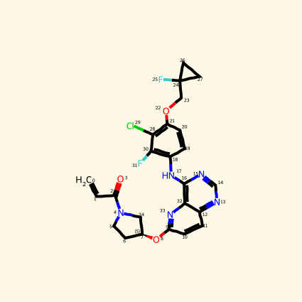 C=CC(=O)N1CC[C@H](Oc2ccc3ncnc(Nc4ccc(OCC5(F)CC5)c(Cl)c4F)c3n2)C1